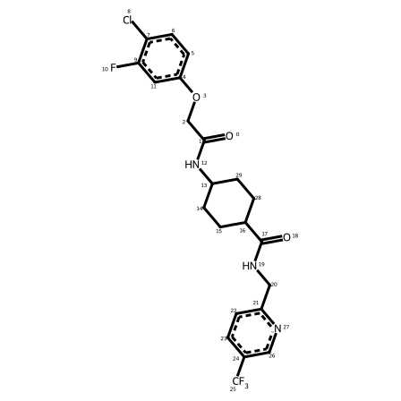 O=C(COc1ccc(Cl)c(F)c1)NC1CCC(C(=O)NCc2ccc(C(F)(F)F)cn2)CC1